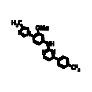 COc1cc(Nc2nccc(-c3ccc(C(F)(F)F)cc3)n2)ccc1-n1cnc(C)c1